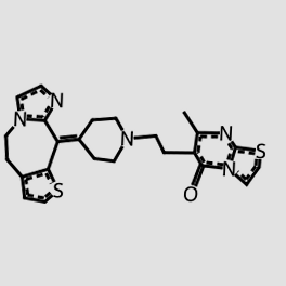 Cc1nc2sccn2c(=O)c1CCN1CCC(=C2c3sccc3CCn3ccnc32)CC1